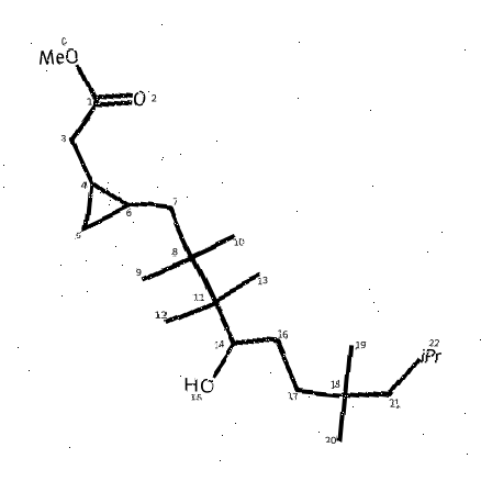 COC(=O)CC1CC1CC(C)(C)C(C)(C)C(O)CCC(C)(C)CC(C)C